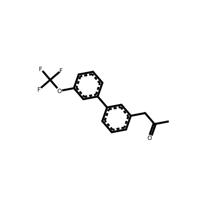 CC(=O)Cc1cccc(-c2cccc(OC(F)(F)F)c2)c1